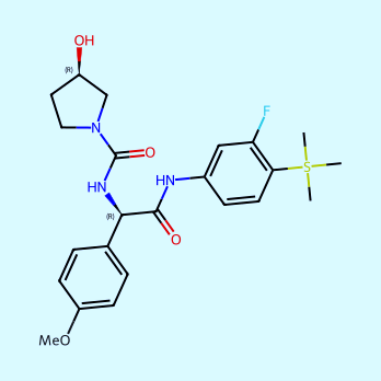 COc1ccc([C@@H](NC(=O)N2CC[C@@H](O)C2)C(=O)Nc2ccc(S(C)(C)C)c(F)c2)cc1